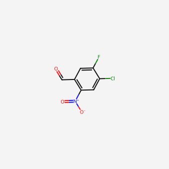 O=Cc1cc(F)c(Cl)cc1[N+](=O)[O-]